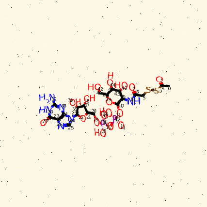 CC(=O)SSCC(=O)NC1C(OP(=O)(O)OP(=O)(O)OCC2OC(n3cnc4c(=O)[nH]c(N)nc43)C(O)C2O)OC(CO)C(O)C1O